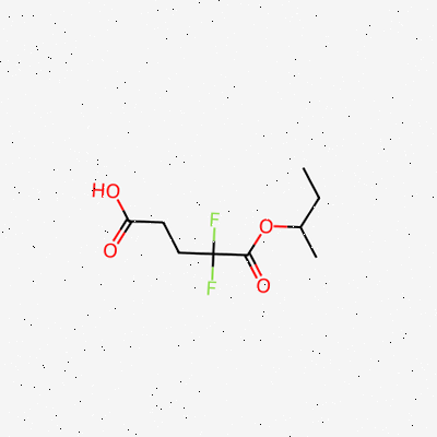 CCC(C)OC(=O)C(F)(F)CCC(=O)O